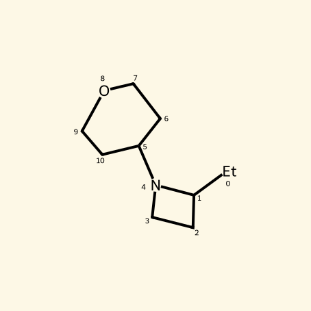 CCC1CCN1C1CCOCC1